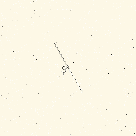 CCCCCCCCCCCCCCN(CCCCCCCCCCCCCC)C(=O)CC(C)C